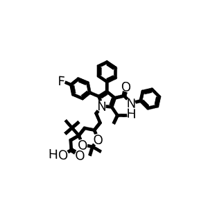 CC(C)c1c(C(=O)Nc2ccccc2)c(-c2ccccc2)c(-c2ccc(F)cc2)n1CCC1CC(CC(=O)O)(C(C)(C)C)OC(C)(C)O1